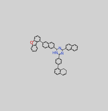 C1=Cc2cccc(-c3ccc(C4=NC(c5ccc6ccccc6c5)=NC(c5ccc6cc(-c7cccc8oc9ccccc9c78)ccc6c5)N4)cc3)c2CC1